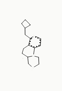 c1cc2c(c(CC3CCC3)n1)CC[C@@H]1CNCCN21